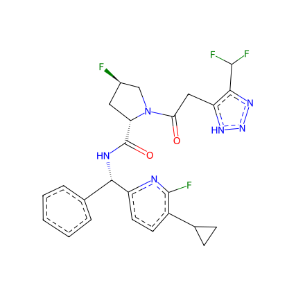 O=C(N[C@@H](c1ccccc1)c1ccc(C2CC2)c(F)n1)[C@@H]1C[C@@H](F)CN1C(=O)Cc1[nH]nnc1C(F)F